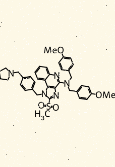 COc1ccc(CN(Cc2ccc(OC)cc2)c2nc3ccccc3c3c2nc(S(C)(=O)=O)n3Cc2ccc(CN3CCCC3)cc2)cc1